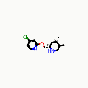 CC1CN[C@H](COc2cc(Cl)ccn2)C[C@@H]1C